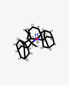 CCCC(C)(NC12CC3CC(CC(C3)C1)C2)C12CC3CC(CC(C3)C1C1CCCCC1)C2